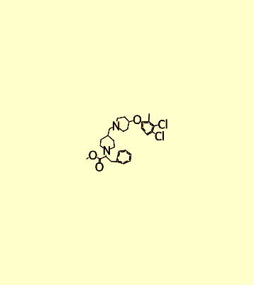 COC(=O)C(Cc1ccccc1)N1CCC(CN2CCC(Oc3ccc(Cl)c(Cl)c3C)CC2)CC1